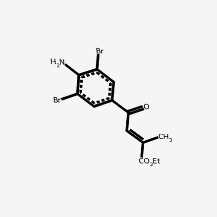 CCOC(=O)C(C)=CC(=O)c1cc(Br)c(N)c(Br)c1